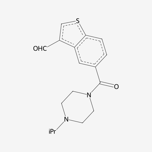 CC(C)N1CCN(C(=O)c2ccc3scc(C=O)c3c2)CC1